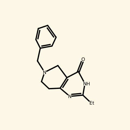 CCc1nc2c(c(=O)[nH]1)CN(Cc1ccccc1)CC2